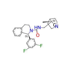 C[C@]1(CNC(=O)N2CCc3ccccc3[C@@H]2c2cc(F)cc(F)c2)CN2CCC1CC2